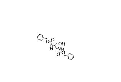 O=C(NCC(CO)NC(=O)OCc1ccccc1)OCc1ccccc1